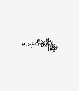 CCCCOCC(CF)OC1=CC[C@H]2CCC(OS(=O)(=O)C(F)(F)F)NC2=C1